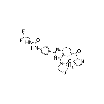 CC1COCCN1c1nc(-c2ccc(NC(=O)NCC(F)F)cc2)nc2c1CN(C(=O)c1nccs1)CC2